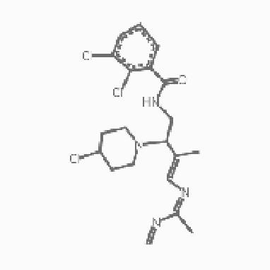 C=N/C(C)=N\C=C(/C)C(CNC(=O)c1cccc(Cl)c1Cl)N1CCC(Cl)CC1